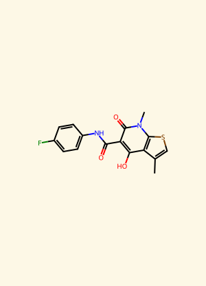 Cc1csc2c1c(O)c(C(=O)Nc1ccc(F)cc1)c(=O)n2C